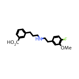 COc1cc(CCNCCCc2cccc(C(=O)O)c2)ccc1F